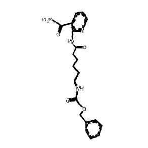 NC(=O)c1cccnc1NC(=O)[CH]CCCCNC(=O)OCc1ccccc1